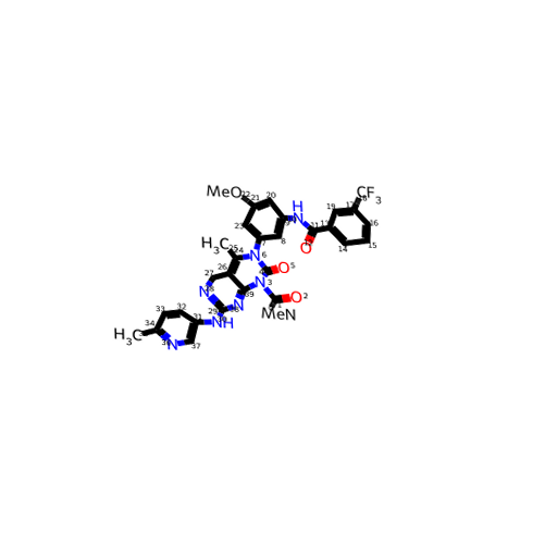 CNC(=O)N1C(=O)N(c2cc(NC(=O)c3cccc(C(F)(F)F)c3)cc(OC)c2)C(C)=C2CN=C(Nc3ccc(C)nc3)N=C21